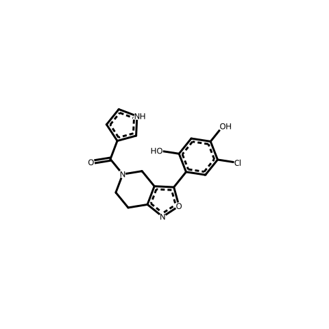 O=C(c1cc[nH]c1)N1CCc2noc(-c3cc(Cl)c(O)cc3O)c2C1